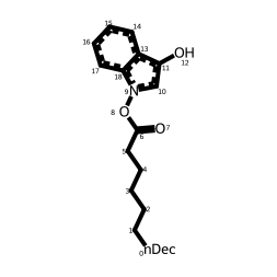 CCCCCCCCCCCCCCCC(=O)On1cc(O)c2ccccc21